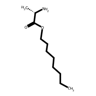 CCCCCCCCOC(=O)[C@H](C)N